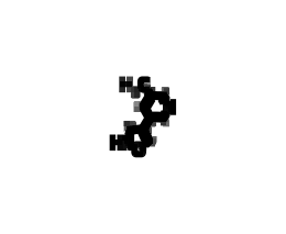 Cc1cncc(C2=CONC2)c1